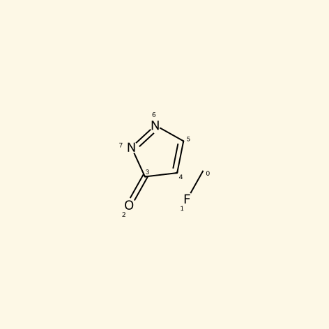 CF.O=C1C=CN=N1